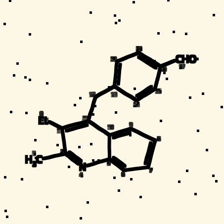 CCc1c(C)nc2ccccc2c1Cc1ccc([C]=O)cc1